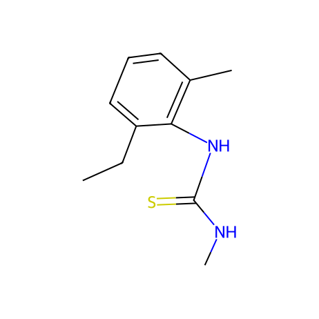 CCc1cccc(C)c1NC(=S)NC